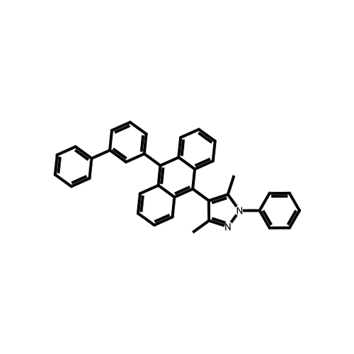 Cc1nn(-c2ccccc2)c(C)c1-c1c2ccccc2c(-c2cccc(-c3ccccc3)c2)c2ccccc12